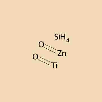 [O]=[Ti].[O]=[Zn].[SiH4]